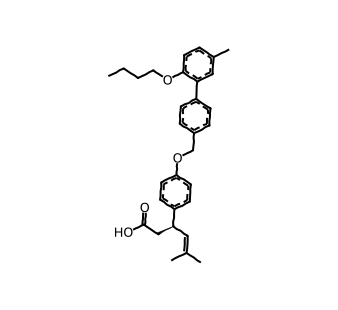 CCCCOc1ccc(C)cc1-c1ccc(COc2ccc([C@@H](C=C(C)C)CC(=O)O)cc2)cc1